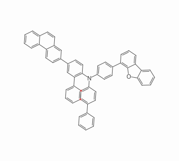 c1ccc(-c2ccc(N(c3ccc(-c4cccc5c4oc4ccccc45)cc3)c3ccc(-c4ccc5c(ccc6ccccc65)c4)cc3-c3ccccc3)cc2)cc1